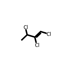 CC(Cl)C(Cl)=CCl